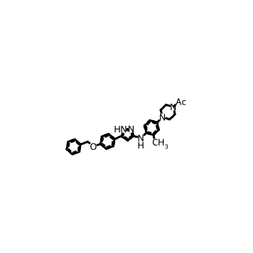 CC(=O)N1CCN(c2ccc(Nc3cc(-c4ccc(OCc5ccccc5)cc4)[nH]n3)c(C)c2)CC1